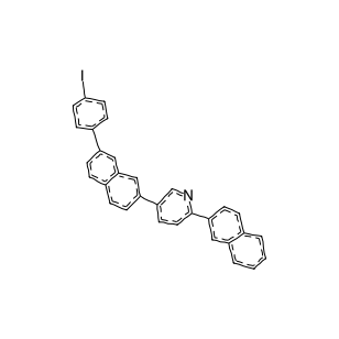 Ic1ccc(-c2ccc3ccc(-c4ccc(-c5ccc6ccccc6c5)nc4)cc3c2)cc1